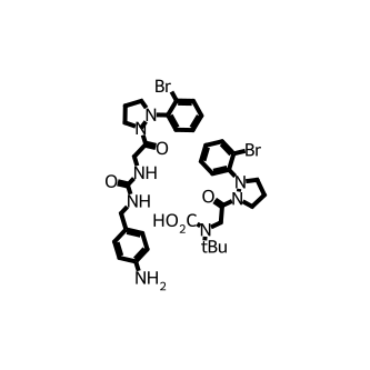 CC(C)(C)N(CC(=O)N1CCCN1c1ccccc1Br)C(=O)O.Nc1ccc(CNC(=O)NCC(=O)N2CCCN2c2ccccc2Br)cc1